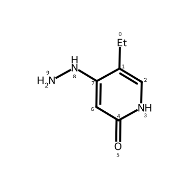 CCc1c[nH]c(=O)cc1NN